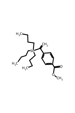 C=[C](c1ccc(C(=O)OC)cc1)[Sn]([CH2]CCC)([CH2]CCC)[CH2]CCC